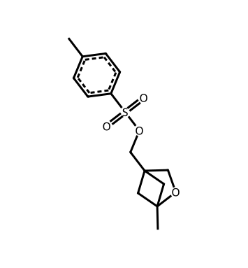 Cc1ccc(S(=O)(=O)OCC23COC(C)(C2)C3)cc1